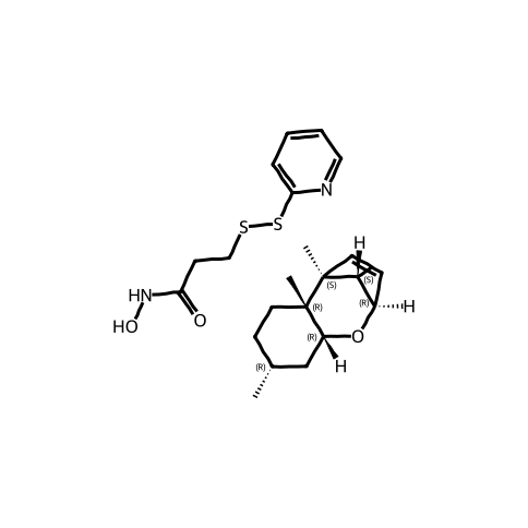 C[C@@H]1CC[C@@]2(C)[C@@H](C1)O[C@@H]1C=C[C@@]2(C)[C@@H]1C.O=C(CCSSc1ccccn1)NO